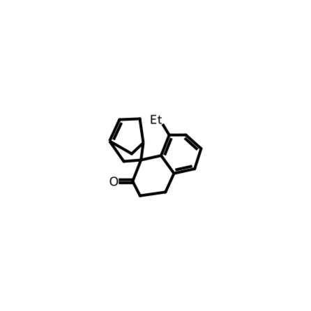 CCc1cccc2c1C1(CC3=CCC1C3)C(=O)CC2